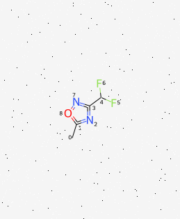 Cc1nc(C(F)F)no1